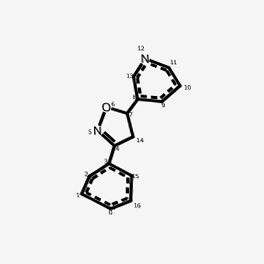 [c]1ccc(C2=NOC(c3cccnc3)C2)cc1